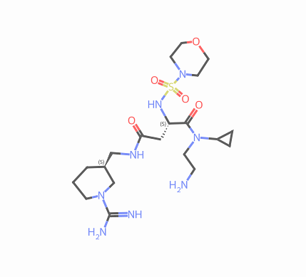 N=C(N)N1CCC[C@@H](CNC(=O)C[C@H](NS(=O)(=O)N2CCOCC2)C(=O)N(CCN)C2CC2)C1